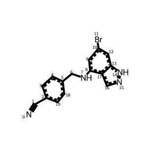 N#Cc1ccc(CNc2cc(Br)cc3[nH]ncc23)cc1